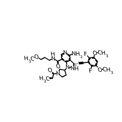 C=CC(=O)N1CCC(N2N[C@@H](C#Cc3c(F)c(OC)cc(OC)c3F)c3c(N)ncc(C(=O)NCCCOC)c32)C1